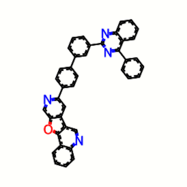 c1ccc(-c2nc(-c3cccc(-c4ccc(-c5cc6c(cn5)oc5c7ccccc7ncc65)cc4)c3)nc3ccccc23)cc1